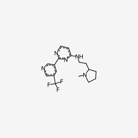 CN1CCCC1CCNc1ccnc(-c2cncc(C(F)(F)F)c2)n1